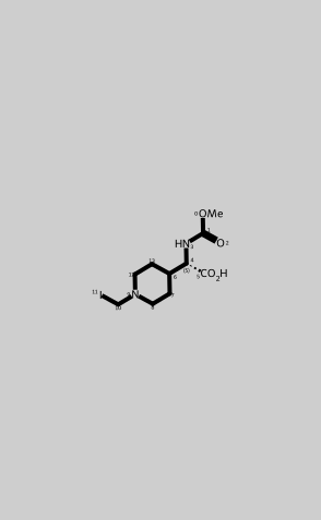 COC(=O)N[C@H](C(=O)O)C1CCN(CI)CC1